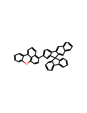 c1ccc2c(c1)Oc1ccc(-c3ccc4c(c3)C3(c5ccccc5-c5ccccc53)c3cc5ccccc5cc3-4)c3cccc-2c13